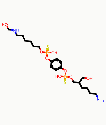 NCCCCC(CO)COP(O)(=S)Oc1ccc(OP(O)(=S)OCCCCCCNCO)cc1